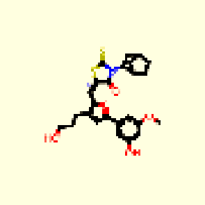 COc1cc(O)cc(-c2cc(CCCO)c(/C=C3/SC(=S)N(C4CC5CCC4C5)C3=O)o2)c1